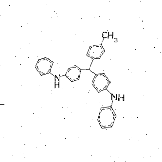 Cc1ccc(C(c2ccc(Nc3ccccc3)cc2)c2ccc(Nc3ccccc3)cc2)cc1